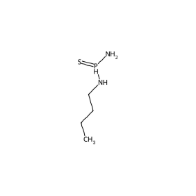 CCCCN[PH](N)=S